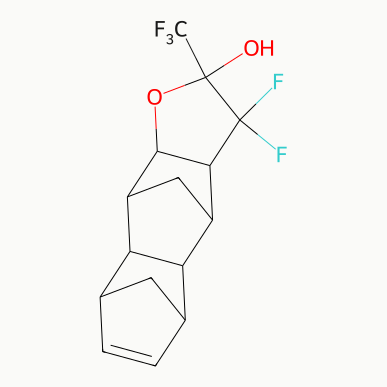 OC1(C(F)(F)F)OC2C3CC(C4C5C=CC(C5)C34)C2C1(F)F